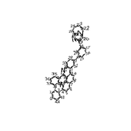 c1ccc(-c2ccc3ccc4c5cc(-c6cccc(-c7cn8ccccc8n7)c6)ccc5nc(-c5ccccc5)c4c3n2)cc1